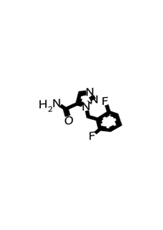 NC(=O)c1cnnn1Cc1c(F)cccc1F